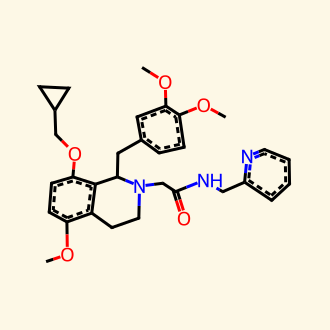 COc1ccc(CC2c3c(OCC4CC4)ccc(OC)c3CCN2CC(=O)NCc2ccccn2)cc1OC